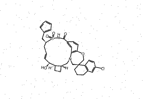 O=C1NS(=O)(=O)[C@H](Cc2ccccc2)C/C=C/[C@H](O)[C@@H]2CC[C@H]2CN2C[C@@]3(CCCc4cc(Cl)ccc43)COc3ccc1cc32